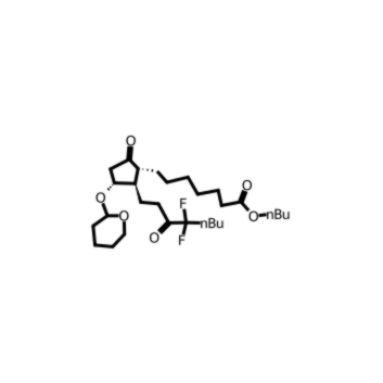 CCCCOC(=O)CCCCCC[C@H]1C(=O)C[C@@H](OC2CCCCO2)[C@@H]1CCC(=O)C(F)(F)CCCC